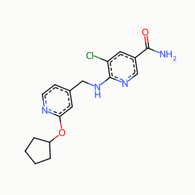 NC(=O)c1cnc(NCc2ccnc(OC3CCCC3)c2)c(Cl)c1